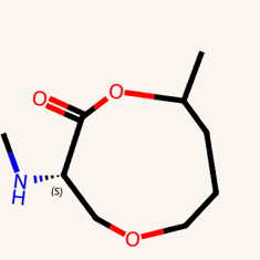 CN[C@H]1COCCCC(C)OC1=O